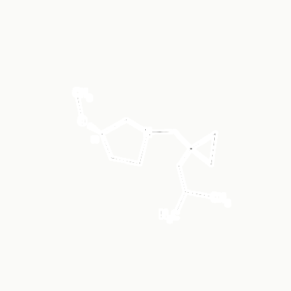 CO[C@H]1CCN(CC2(CC(C)C)CC2)C1